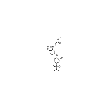 COC(=O)CCNc1cc(Oc2ccc(S(=O)(=O)C(C)C)cc2Cl)ccc1[N+](=O)[O-]